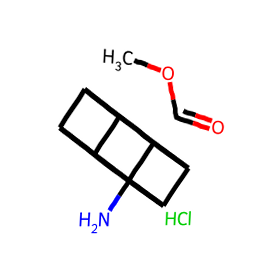 COC=O.Cl.NC12C3C4C5C3C1C5C42